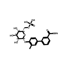 CNC(=O)c1cccc(-c2ccc(O[C@H]3O[C@@H](COP(=O)(O)O)[C@@H](O)[C@H](O)[C@H]3O)c(C)c2)c1